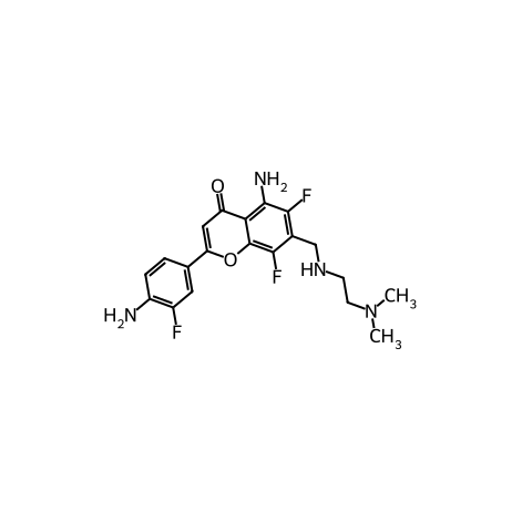 CN(C)CCNCc1c(F)c(N)c2c(=O)cc(-c3ccc(N)c(F)c3)oc2c1F